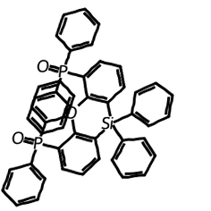 O=P(c1ccccc1)(c1ccccc1)c1cccc2c1Oc1c(cccc1P(=O)(c1ccccc1)c1ccccc1)[Si]2(c1ccccc1)c1ccccc1